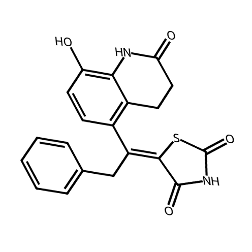 O=C1CCc2c(C(Cc3ccccc3)=C3SC(=O)NC3=O)ccc(O)c2N1